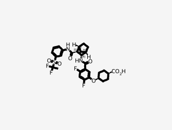 CC(F)(F)S(=O)(=O)c1cccc(NC(=O)[C@H]2[C@@H]3CC[C@@H](C3)[C@H]2NC(=O)c2cc(O[C@H]3CC[C@@H](C(=O)O)CC3)c(F)cc2F)c1